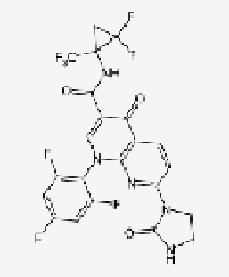 O=C(NC1(C(F)(F)F)CC1(F)F)c1cn(-c2c(F)cc(F)cc2F)c2nc(N3CCNC3=O)ccc2c1=O